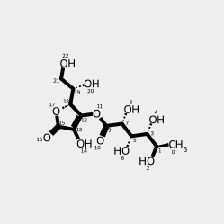 C[C@@H](O)[C@@H](O)[C@H](O)[C@@H](O)C(=O)OC1=C(O)C(=O)O[C@@H]1[C@@H](O)CO